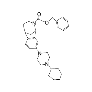 O=C(OCc1ccccc1)N1CCC2CC1c1cc(N3CCN(C4CCCCC4)CC3)ccc12